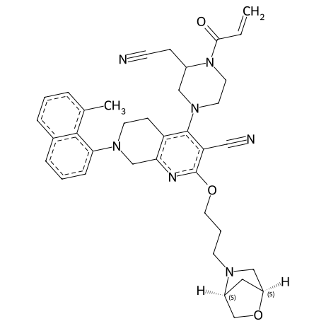 C=CC(=O)N1CCN(c2c(C#N)c(OCCCN3C[C@@H]4C[C@H]3CO4)nc3c2CCN(c2cccc4cccc(C)c24)C3)CC1CC#N